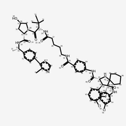 Cc1ncsc1-c1ccc([C@H](C)NC(=O)[C@@H]2C[C@@H](O)CN2C(=O)[C@@H](NC(=O)CCCCNC(=O)c2ccc(NC(=O)[C@@H]3NC4(CCCCC4)[C@@]4(C(=O)Nc5cc(Cl)ccc54)[C@H]3c3cccc(Cl)c3F)cc2)C(C)(C)C)cc1